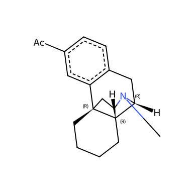 CC(=O)c1ccc2c(c1)[C@@]13CCCC[C@H]1[C@@H](C2)N(C)CC3